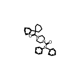 O=C(N1CCN(C(=O)C2(c3ccccc3)CCCCC2)CC1)N(c1ccccc1)c1ccccc1